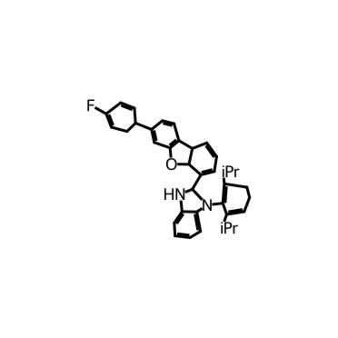 CC(C)C1=CCCC(C(C)C)=C1N1c2ccccc2NC1C1=CC=CC2c3ccc(C4C=CC(F)=CC4)cc3OC12